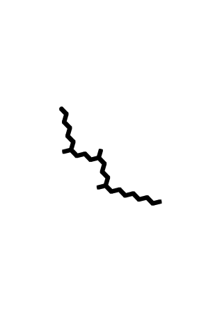 CCCCCCCCC(C)CCCC(C)CCCC(C)CCCCCC